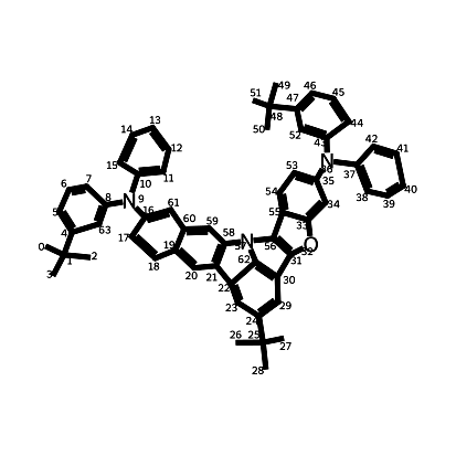 CC(C)(C)c1cccc(N(c2ccccc2)c2ccc3cc4c5cc(C(C)(C)C)cc6c7oc8cc(N(c9ccccc9)c9cccc(C(C)(C)C)c9)ccc8c7n(c4cc3c2)c56)c1